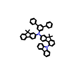 CC1(C)c2ccccc2-c2ccc(N(c3cc(-c4ccccc4)cc(-c4ccccc4)c3)c3ccc4c(c3)C(C)(C)c3cccc(-n5c6ccccc6c6ccccc65)c3-4)cc21